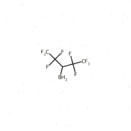 BC(C(F)(F)C(F)(F)F)C(F)(F)C(F)(F)F